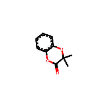 CC1(C)Oc2ccccc2OC1=O